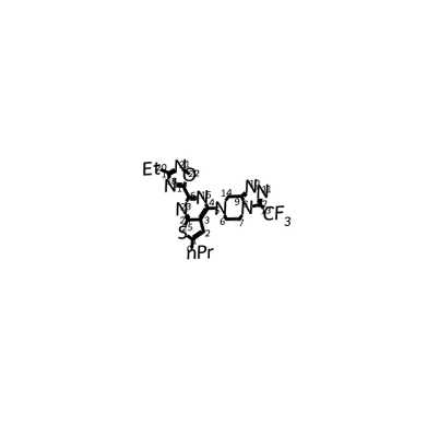 CCCc1cc2c(N3CCn4c(nnc4C(F)(F)F)C3)nc(-c3nc(CC)no3)nc2s1